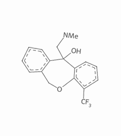 CNCC1(O)c2ccccc2COc2c(C(F)(F)F)cccc21